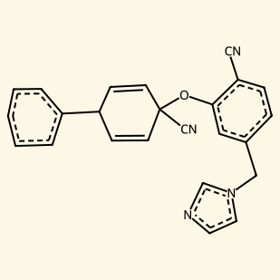 N#Cc1ccc(Cn2ccnc2)cc1OC1(C#N)C=CC(c2ccccc2)C=C1